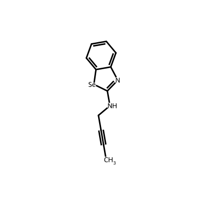 CC#CCNc1nc2ccccc2[se]1